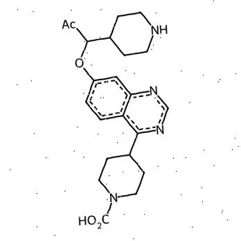 CC(=O)C(Oc1ccc2c(C3CCN(C(=O)O)CC3)ncnc2c1)C1CCNCC1